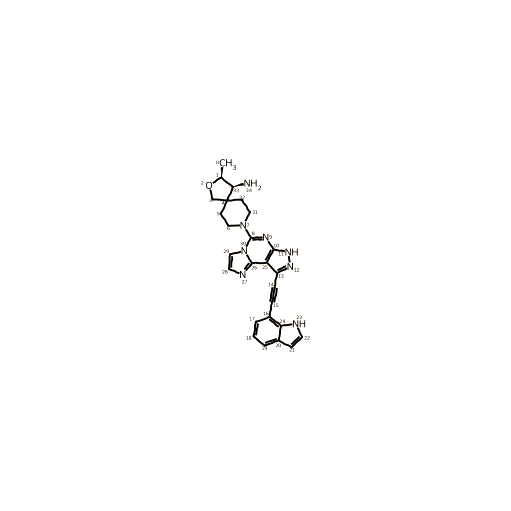 C[C@@H]1OCC2(CCN(c3nc4[nH]nc(C#Cc5cccc6cc[nH]c56)c4c4nccn34)CC2)[C@@H]1N